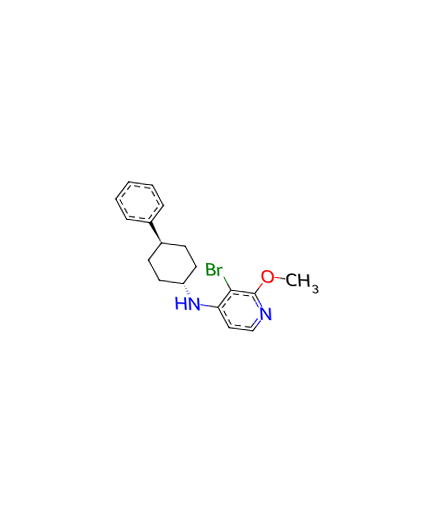 COc1nccc(N[C@H]2CC[C@H](c3ccccc3)CC2)c1Br